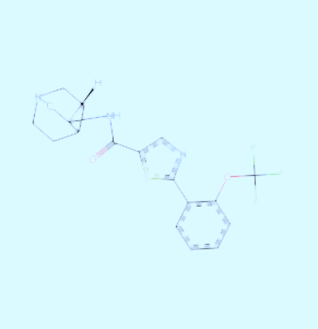 O=C(N[C@H]1CN2CCC1CC2)c1cnc(-c2ccccc2OC(F)(F)F)s1